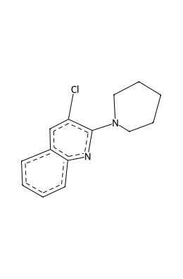 Clc1cc2ccccc2nc1N1CCCCC1